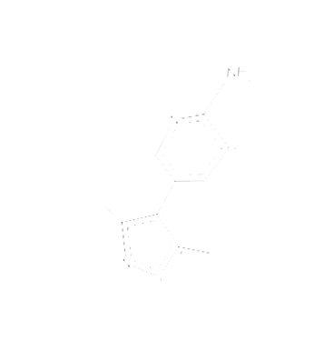 Cc1nsc(C)c1-c1ccc(N)nc1